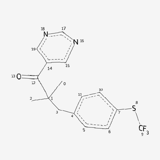 CC(C)(Cc1ccc(SC(F)(F)F)cc1)C(=O)c1cncnc1